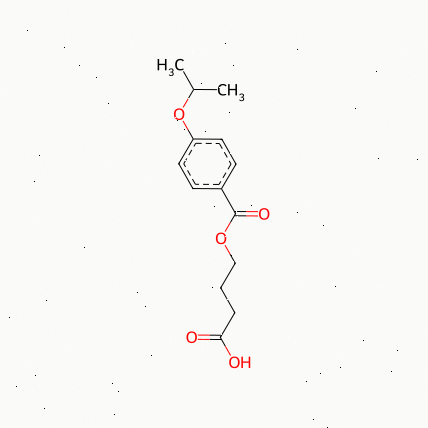 CC(C)Oc1ccc(C(=O)OCCCC(=O)O)cc1